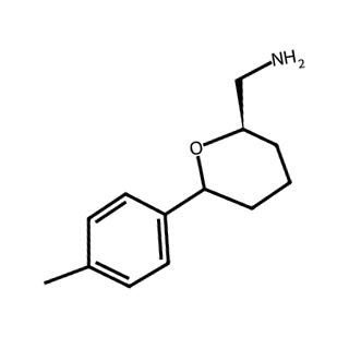 Cc1ccc(C2CCC[C@H](CN)O2)cc1